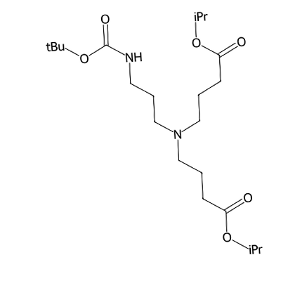 CC(C)OC(=O)CCCN(CCCNC(=O)OC(C)(C)C)CCCC(=O)OC(C)C